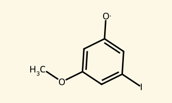 COc1cc([O])cc(I)c1